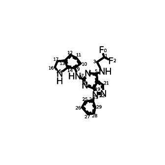 FC(F)CNc1nc(Nc2cccc3c2NCC3)nc2c1cnn2-c1ccccc1